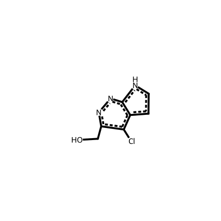 OCc1nnc2[nH]ccc2c1Cl